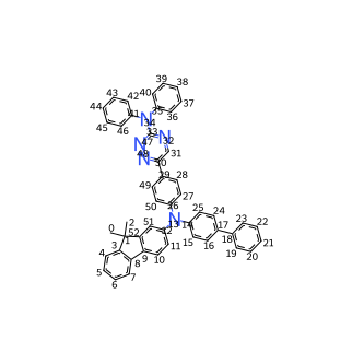 CC1(C)c2ccccc2-c2ccc(N(c3ccc(-c4ccccc4)cc3)c3ccc(-c4cnc(N(c5ccccc5)c5ccccc5)nn4)cc3)cc21